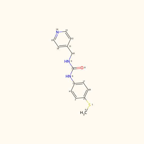 CSc1ccc(NC(=O)NCc2ccncc2)cc1